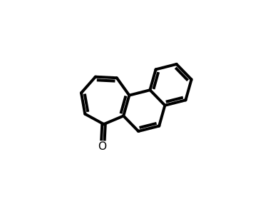 O=c1ccccc2c1ccc1ccccc12